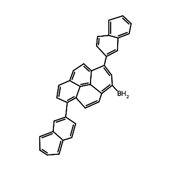 Bc1cc(-c2ccc3ccccc3c2)c2ccc3ccc(-c4ccc5ccccc5c4)c4ccc1c2c34